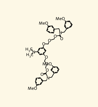 COc1cccc(CN(Cc2cccc(OC)c2)C(=O)OCOCOc2cc(OCOCOC(=O)N(Cc3cccc(OC)c3)Cc3cccc(OC)c3)cc(N(C)C)c2)c1